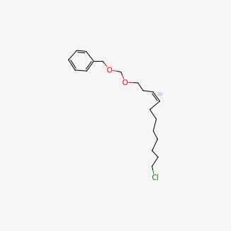 ClCCCCCCC/C=C\CCOCOCc1ccccc1